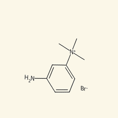 C[N+](C)(C)c1cccc(N)c1.[Br-]